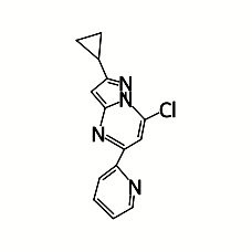 Clc1cc(-c2ccccn2)nc2cc(C3CC3)nn12